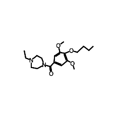 CCCCOc1c(OC)cc(C(=O)N2CCN(CC)CC2)cc1OC